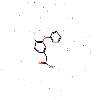 COC(=O)Cc1ccc(F)c(Oc2ccccc2)c1